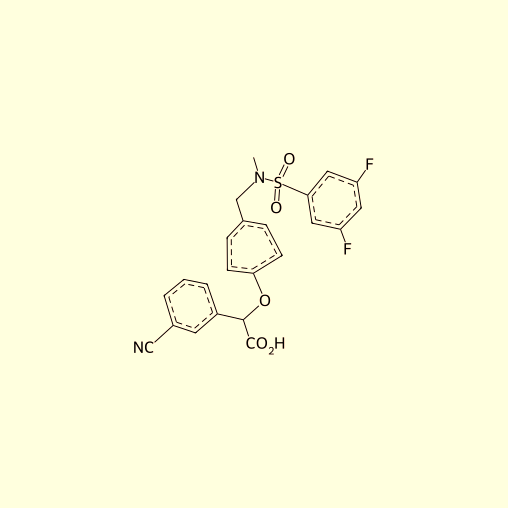 CN(Cc1ccc(OC(C(=O)O)c2cccc(C#N)c2)cc1)S(=O)(=O)c1cc(F)cc(F)c1